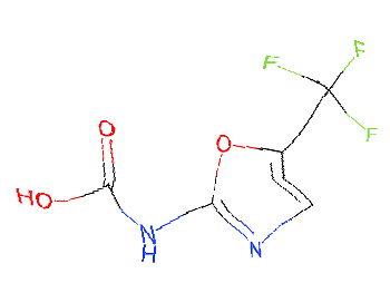 O=C(O)Nc1ncc(C(F)(F)F)o1